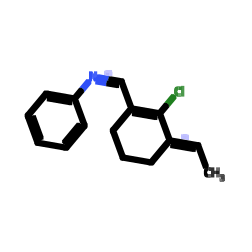 C/C=C1\CCCC(/C=N\c2ccccc2)=C1Cl